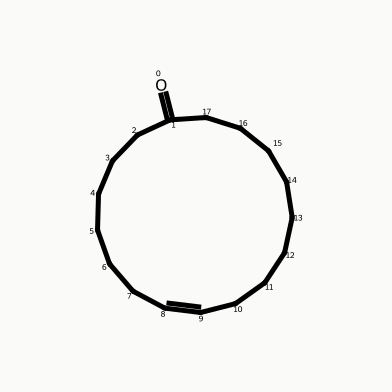 O=C1CCCCCCC=CCCCCCCCC1